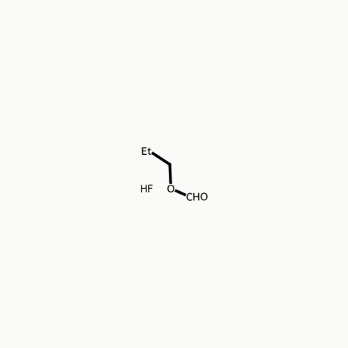 CCCOC=O.F